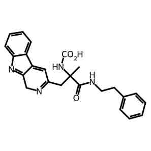 CC(CC1=NCC2=Nc3ccccc3C2=C1)(NC(=O)O)C(=O)NCCc1ccccc1